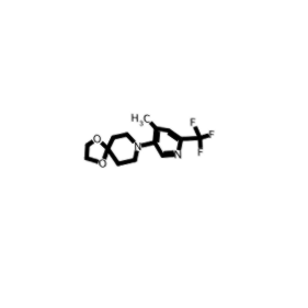 Cc1cc(C(F)(F)F)ncc1N1CCC2(CC1)OCCO2